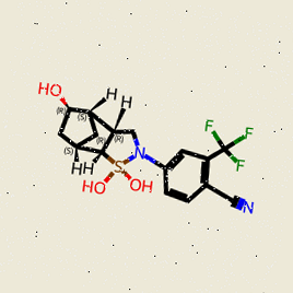 N#Cc1ccc(N2C[C@H]3[C@@H]4C[C@@H](C[C@H]4O)[C@H]3S2(O)O)cc1C(F)(F)F